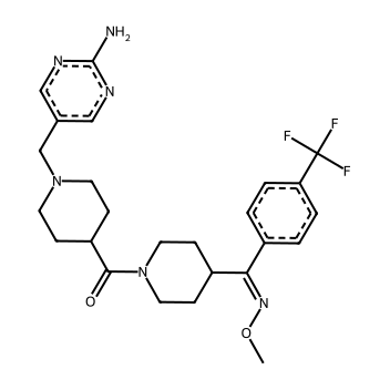 CON=C(c1ccc(C(F)(F)F)cc1)C1CCN(C(=O)C2CCN(Cc3cnc(N)nc3)CC2)CC1